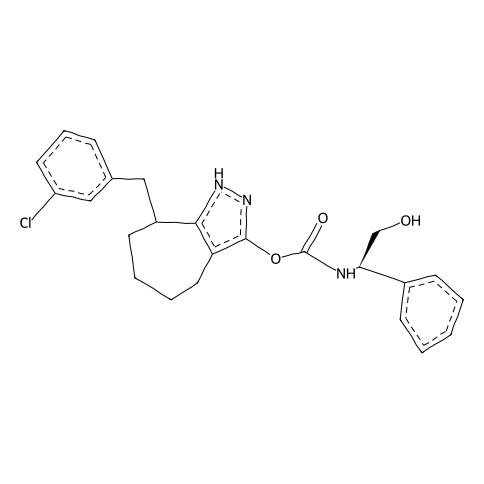 O=C(N[C@@H](CO)c1ccccc1)Oc1n[nH]c2c1CCCCC2Cc1cccc(Cl)c1